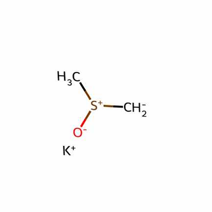 [CH2-][S+](C)[O-].[K+]